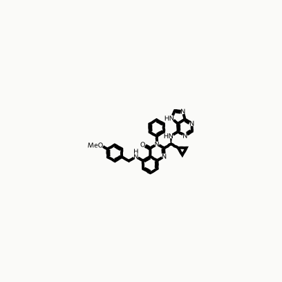 COc1ccc(CNc2cccc3nc([C@@H](Nc4ncnc5nc[nH]c45)C4CC4)n(-c4ccccc4)c(=O)c23)cc1